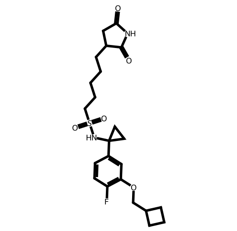 O=C1CC(CCCCCS(=O)(=O)NC2(c3ccc(F)c(OCC4CCC4)c3)CC2)C(=O)N1